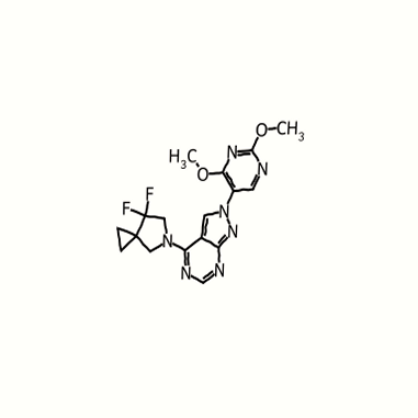 COc1ncc(-n2cc3c(N4CC(F)(F)C5(CC5)C4)ncnc3n2)c(OC)n1